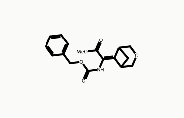 COC(=O)C(NC(=O)OCc1ccccc1)=C1C2COCC1C2